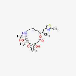 CC(=Cc1csc(C)n1)C1C/C=C/CCN[C@@H](C)[C@@H](O)[C@@H](C)C(=O)C(C)(C)[C@@H](O)CC(=O)O1